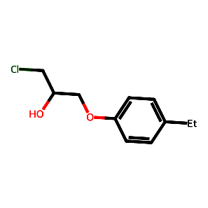 CCc1ccc(OCC(O)CCl)cc1